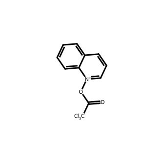 O=C(O[n+]1cccc2ccccc21)C(Cl)(Cl)Cl